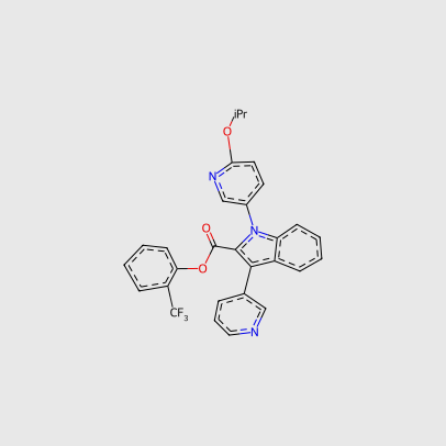 CC(C)Oc1ccc(-n2c(C(=O)Oc3ccccc3C(F)(F)F)c(-c3cccnc3)c3ccccc32)cn1